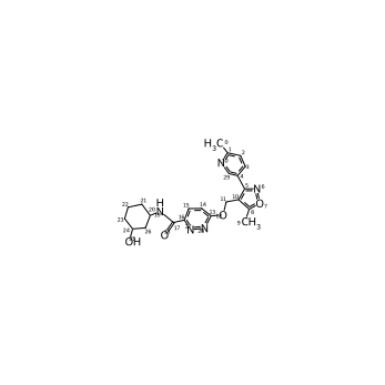 Cc1ccc(-c2noc(C)c2COc2ccc(C(=O)NC3CCCC(O)C3)nn2)cn1